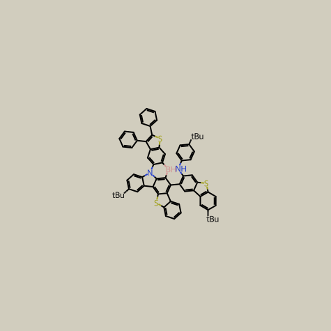 CC(C)(C)c1ccc(Nc2cc3sc4ccc(C(C)(C)C)cc4c3cc2-c2c3c4c(c5cc(C(C)(C)C)ccc5n4-c4cc5c(-c6ccccc6)c(-c6ccccc6)sc5cc4B3)c3sc4ccccc4c23)cc1